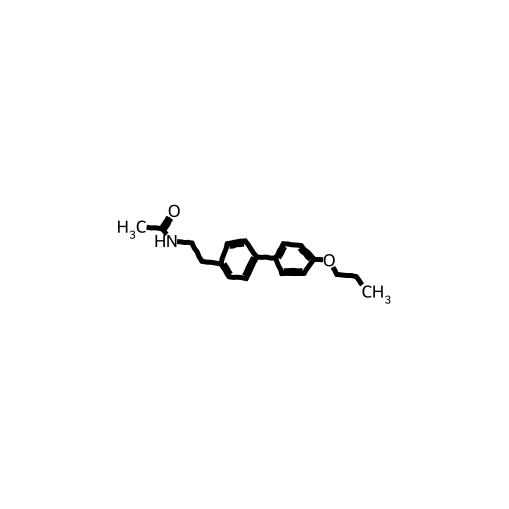 CCCOc1ccc(-c2ccc(CCNC(C)=O)cc2)cc1